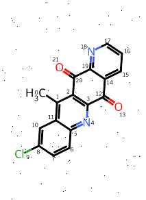 Cc1c2c(nc3ccc(Cl)cc13)C(=O)c1cccnc1C2=O